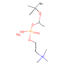 CC(O[Si](C)(C)C(C)(C)C)OP(=O)(O)OCC[N+](C)(C)C.[OH-]